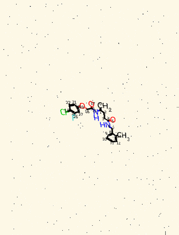 C=C(CCC(=O)NCc1ccccc1C)NC(=O)COc1ccc(Cl)c(F)c1